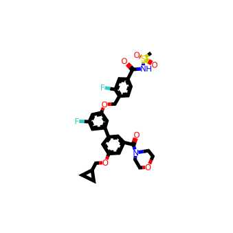 CS(=O)(=O)NC(=O)c1ccc(COc2cc(F)cc(-c3cc(OCC4CC4)cc(C(=O)N4CCOCC4)c3)c2)c(F)c1